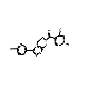 O=C(c1ccc(F)cc1Cl)N1CCn2c(nnc2-c2cnc(Cl)cn2)C1